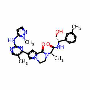 Cc1cccc([C@@H](CO)NC(=O)[C@@H](C)N2CCn3cc(-c4nc(Nc5ccnn5C)ncc4C)cc3C2=O)c1